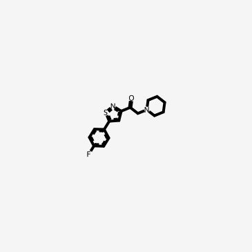 O=C(CN1CCCCC1)c1cc(-c2ccc(F)cc2)sn1